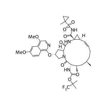 COc1ccc2c(O[C@@H]3C[C@H]4C(=O)N[C@]5(C(=O)NS(=O)(=O)C6(C)CC6)C[C@H]5/C=C\CC[C@@H](C)C[C@@H](C)[C@H](NC(=O)OC(C)(C)C(F)(F)F)C(=O)N4C3)ncc(OC)c2c1